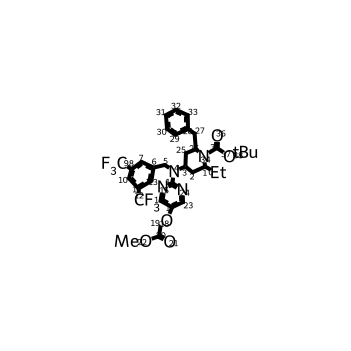 CCC1CC(N(Cc2cc(C(F)(F)F)cc(C(F)(F)F)c2)c2ncc(OCC(=O)OC)cn2)CC(Cc2ccccc2)N1C(=O)OC(C)(C)C